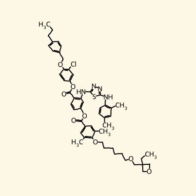 CCCc1ccc(COc2ccc(OC(=O)c3ccc(OC(=O)c4cc(C)c(OCCCCCCOCC5(CC)COC5)c(C)c4)cc3Nc3nnc(Nc4ccc(C)cc4C)s3)cc2Cl)cc1